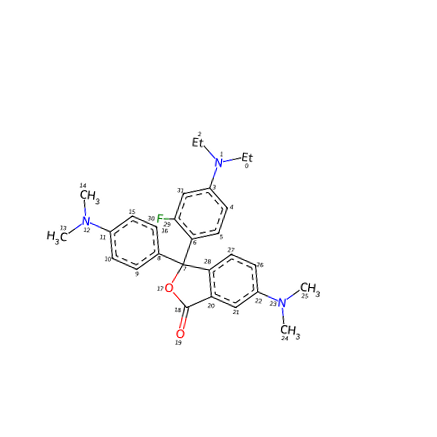 CCN(CC)c1ccc(C2(c3ccc(N(C)C)cc3)OC(=O)c3cc(N(C)C)ccc32)c(F)c1